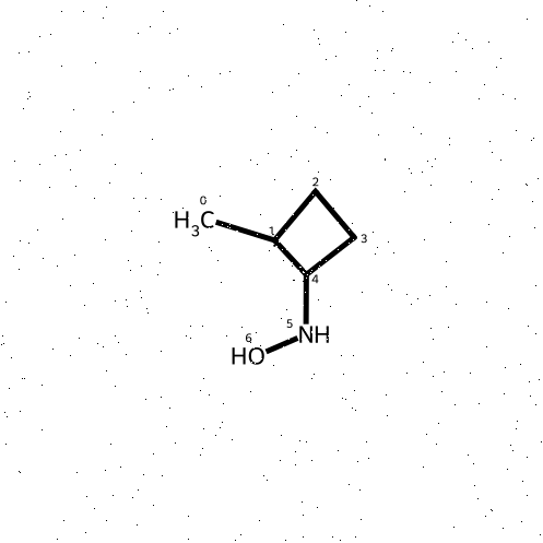 C[C]1CCC1NO